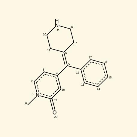 Cn1ccc(C(=C2CCNCC2)c2ccccc2)cc1=O